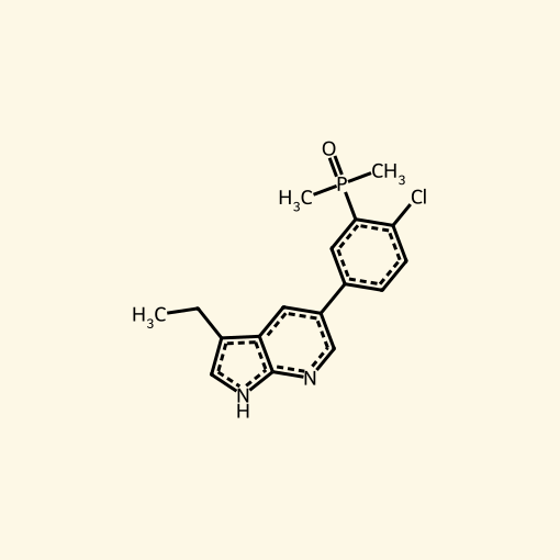 CCc1c[nH]c2ncc(-c3ccc(Cl)c(P(C)(C)=O)c3)cc12